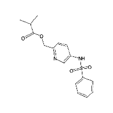 CC(C)C(=O)OCc1ccc(NS(=O)(=O)c2ccccc2)cn1